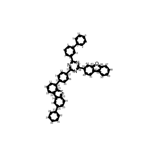 c1ccc(-c2cccc(-c3nc(-c4ccc(-c5cccc6c5sc5ccc(-c7ccccc7)cc56)cc4)nc(-c4ccc5c(c4)oc4ccccc45)n3)c2)cc1